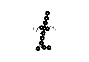 Cc1ccc2c(-c3ccc(-c4ccc(-c5ccc6c(c5)c5cc(-c7ccccc7)ccc5n6-c5ccccc5)cc4)cc3)c3cc(C)ccc3c(-c3ccc(-c4ccc(-c5ccccc5)cc4)cc3)c2c1